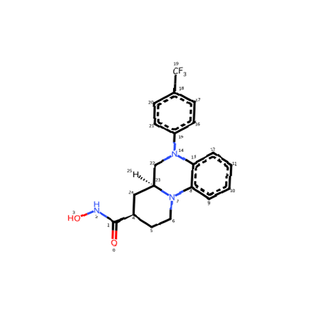 O=C(NO)[C@@H]1CCN2c3ccccc3N(c3ccc(C(F)(F)F)cc3)C[C@@H]2C1